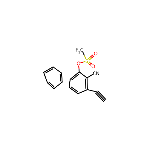 C#Cc1cccc(OS(=O)(=O)C(F)(F)F)c1C#N.c1ccccc1